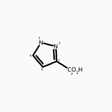 O=C(O)C1=N[N]C=C1